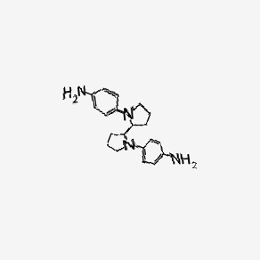 Nc1ccc(N2CCCC2C2CCCN2c2ccc(N)cc2)cc1